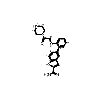 N=C(N)c1cc2cc(-c3ccccc3OCC(=O)N3CCNCC3)ccc2s1